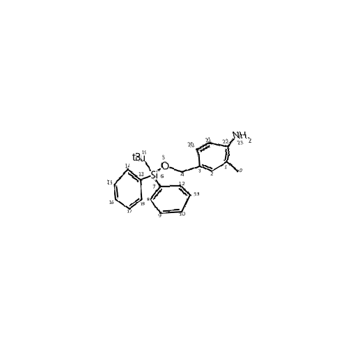 Cc1cc(CO[Si](c2ccccc2)(c2ccccc2)C(C)(C)C)ccc1N